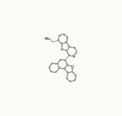 CC(C)(C)Cc1cccc2c1sc1c(-c3cc4ccccc4c4c3oc3ccccc34)nccc12